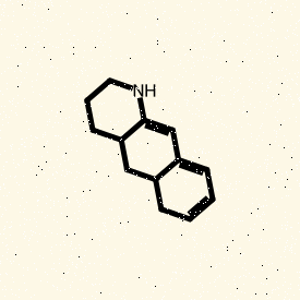 C1=CCC2CC3CCCNC3=CC2=C1